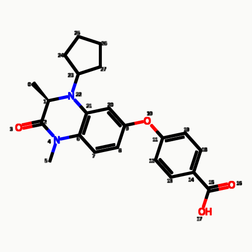 C[C@@H]1C(=O)N(C)c2ccc(Oc3ccc(C(=O)O)cc3)cc2N1C1CCCC1